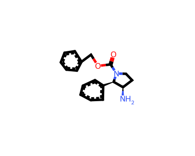 N[C@@H]1CCN(C(=O)OCc2ccccc2)[C@@H]1c1ccccc1